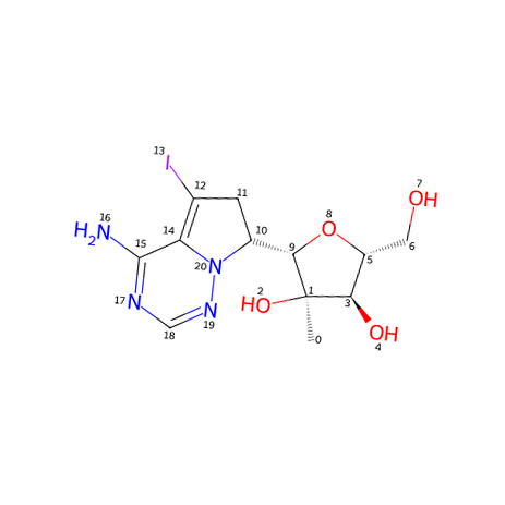 C[C@@]1(O)[C@H](O)[C@@H](CO)O[C@H]1C1CC(I)=C2C(N)=NC=NN21